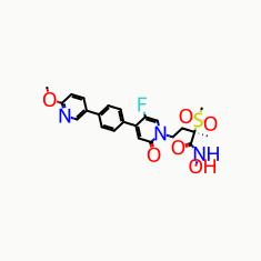 COc1ccc(-c2ccc(-c3cc(=O)n(CC[C@](C)(C(=O)NO)S(C)(=O)=O)cc3F)cc2)cn1